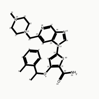 Cc1ccccc1C(C)Oc1cc(-n2cnc3cnc(CN4CCN(C)CC4)cc32)sc1C(N)=O